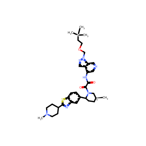 C[C@H]1CCC(c2ccc3sc(C4CCN(C)CC4)nc3c2)N(C(=O)C(=O)Nc2cncc3c2cnn3COCC[Si](C)(C)C)C1